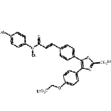 CCCCCc1ccc(N(CC)C(=O)C=Cc2ccc(-c3sc(C(=O)OCC)nc3-c3ccc(OCC(=O)OCC)cc3)cc2)cc1